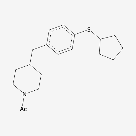 CC(=O)N1CCC(Cc2ccc(SC3CCCC3)cc2)CC1